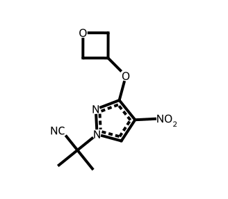 CC(C)(C#N)n1cc([N+](=O)[O-])c(OC2COC2)n1